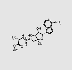 CCCOC(=O)[C@H](C)N[PH](=O)OC[C@@]1(C#N)O[C@@H](c2ccc3c(N)ncnn23)[C@H](O)[C@@H]1O